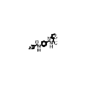 CN1CC(C(=O)Nc2ccc(-c3nc4ccsc4c(=O)[nH]3)cc2)C1